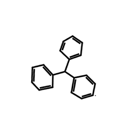 [c]1ccc(C(c2ccccc2)c2ccccc2)cc1